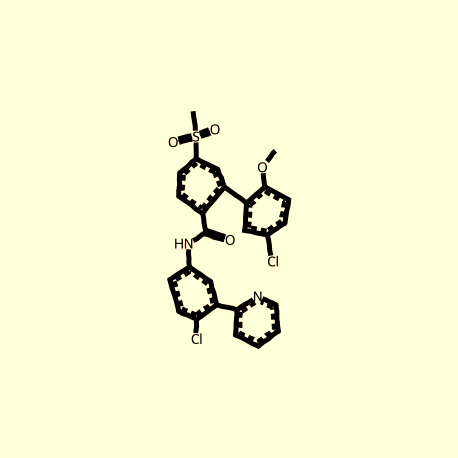 COc1ccc(Cl)cc1-c1cc(S(C)(=O)=O)ccc1C(=O)Nc1ccc(Cl)c(-c2ccccn2)c1